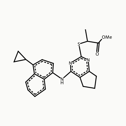 COC(=O)C(C)Sc1nc2c(c(Nc3ccc(C4CC4)c4ccccc34)n1)CCC2